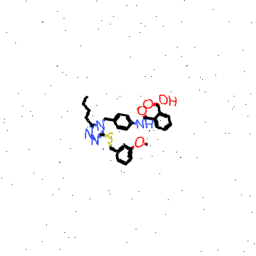 CCCCc1nnc(SCc2cccc(OC)c2)n1Cc1ccc(NC(=O)c2ccccc2C(=O)O)cc1